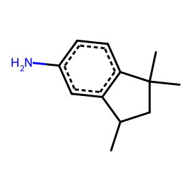 CC1CC(C)(C)c2ccc(N)cc21